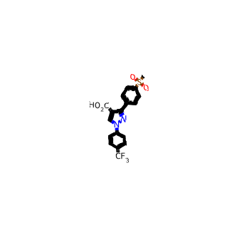 CS(=O)(=O)c1ccc(-c2nn(-c3ccc(C(F)(F)F)cc3)cc2C(=O)O)cc1